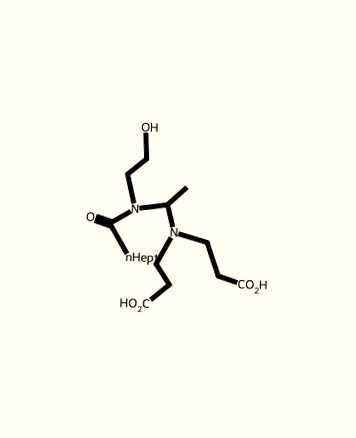 CCCCCCCC(=O)N(CCO)C(C)N(CCC(=O)O)CCC(=O)O